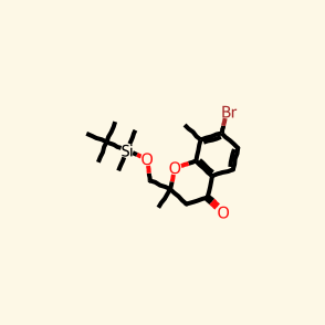 Cc1c(Br)ccc2c1OC(C)(CO[Si](C)(C)C(C)(C)C)CC2=O